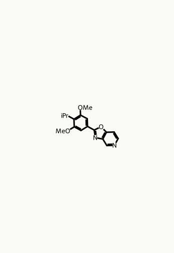 COc1cc(-c2nc3cnccc3o2)cc(OC)c1C(C)C